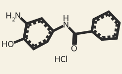 Cl.Nc1cc(NC(=O)c2ccccc2)ccc1O